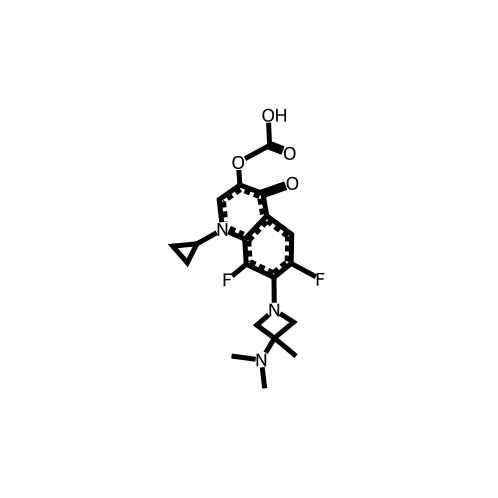 CN(C)C1(C)CN(c2c(F)cc3c(=O)c(OC(=O)O)cn(C4CC4)c3c2F)C1